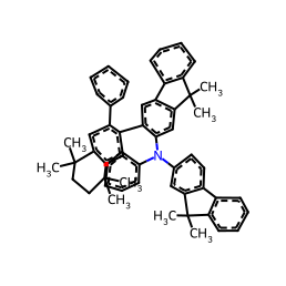 CC1(C)CCC(C)(C)c2cc(-c3cc4c(cc3N(c3ccccc3)c3ccc5c(c3)C(C)(C)c3ccccc3-5)C(C)(C)c3ccccc3-4)c(-c3ccccc3)cc21